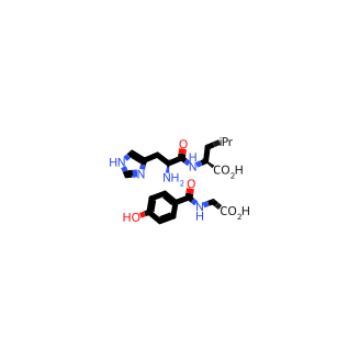 CC(C)C[C@H](NC(=O)[C@@H](N)Cc1c[nH]cn1)C(=O)O.O=C(O)CNC(=O)c1ccc(O)cc1